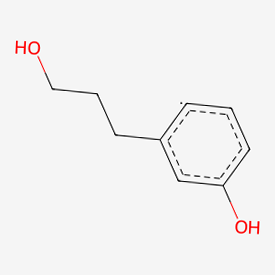 OCCCc1[c]ccc(O)c1